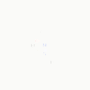 CCS/C(=N\c1ccccc1C(C)C)NC(=O)C(C)Cc1ccccc1